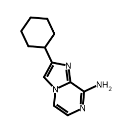 Nc1nccn2cc(C3CCCCC3)nc12